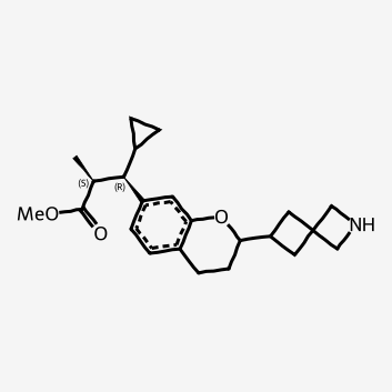 COC(=O)[C@@H](C)[C@H](c1ccc2c(c1)OC(C1CC3(CNC3)C1)CC2)C1CC1